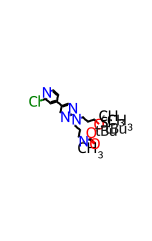 CN(CCCN(CCCO[Si](C)(C)C(C)(C)C)c1ncc(-c2ccnc(Cl)c2)cn1)C(=O)OC(C)(C)C